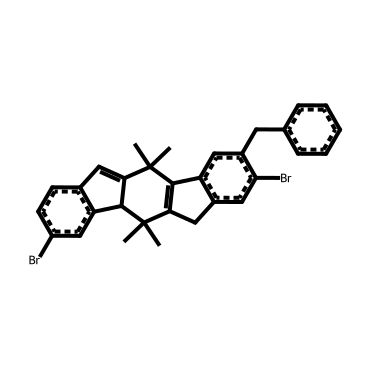 CC1(C)C2=Cc3ccc(Br)cc3C2C(C)(C)C2=C1c1cc(Cc3ccccc3)c(Br)cc1C2